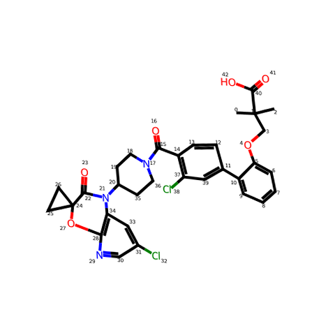 CC(C)(COc1ccccc1-c1ccc(C(=O)N2CCC(N3C(=O)C4(CC4)Oc4ncc(Cl)cc43)CC2)c(Cl)c1)C(=O)O